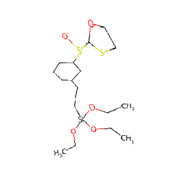 CCO[Si](CCC1CCCC([S+]([O-])C2OCCS2)C1)(OCC)OCC